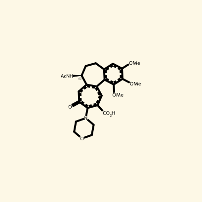 COc1cc2c(c(OC)c1OC)-c1cc(C(=O)O)c(N3CCOCC3)c(=O)cc1[C@@H](NC(C)=O)CC2